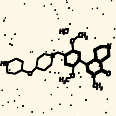 COc1cc(-c2cn(C)c(=O)c3cnccc23)c(OC)cc1CN1CCC(OC2CCNCC2)CC1.Cl